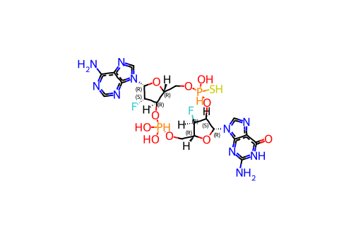 Nc1nc2c(ncn2[C@@H]2O[C@@H]3CO[PH](O)(O)O[C@H]4[C@H](F)[C@H](n5cnc6c(N)ncnc65)O[C@@H]4CO[PH](O)(S)O[C@@H]2[C@@H]3F)c(=O)[nH]1